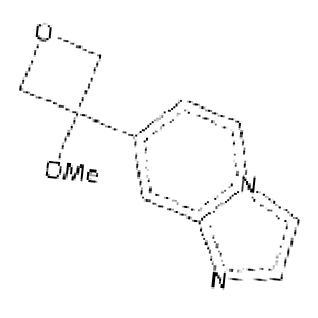 COC1(c2ccn3ccnc3c2)COC1